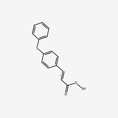 O=C(/C=C/c1ccc(Sc2ccccc2)cc1)OS